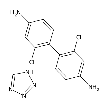 Nc1ccc(-c2ccc(N)cc2Cl)c(Cl)c1.c1nnn[nH]1